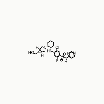 O=S(=O)(Nc1ccncn1)c1cc(Cl)c(N[C@@H]2CCCC[C@H]2N2C[C@@H]3[C@@H](CO)[C@@H]3C2)cc1F